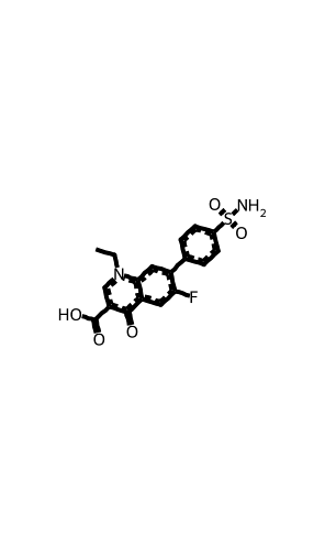 CCn1cc(C(=O)O)c(=O)c2cc(F)c(-c3ccc(S(N)(=O)=O)cc3)cc21